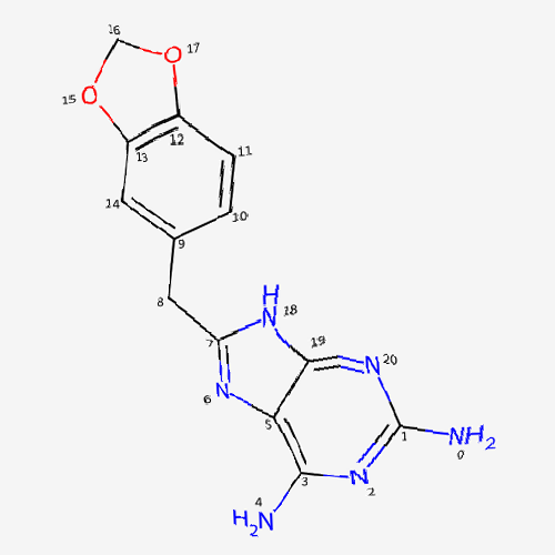 Nc1nc(N)c2nc(Cc3ccc4c(c3)OCO4)[nH]c2n1